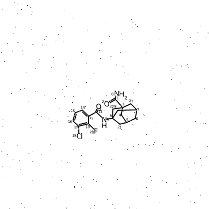 NC(=O)C12CC3CC(CC(NC(=O)c4cccc(Cl)c4F)(C3)C1)C2